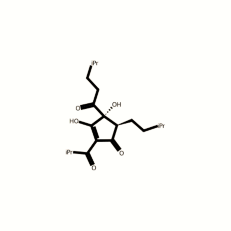 CC(C)CCC(=O)[C@]1(O)C(O)=C(C(=O)C(C)C)C(=O)[C@@H]1CCC(C)C